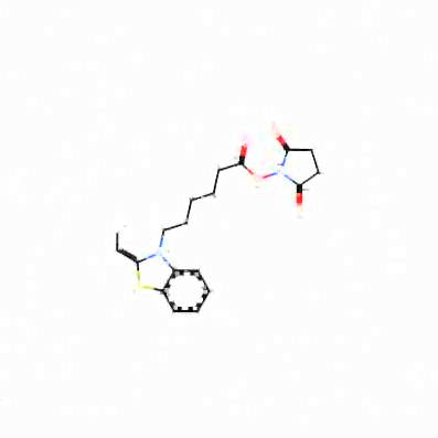 CC(C)C=C1Sc2ccccc2N1CCCCCC(=O)ON1C(=O)CCC1=O